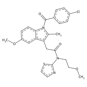 COCCN(C(=O)Cc1c(C)n(C(=O)c2ccc(Cl)cc2)c2ccc(OC)cc12)c1nccs1